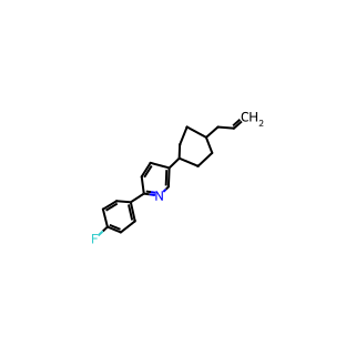 C=CCC1CCC(c2ccc(-c3ccc(F)cc3)nc2)CC1